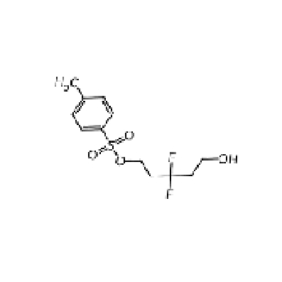 Cc1ccc(S(=O)(=O)OCCC(F)(F)CCO)cc1